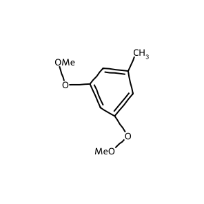 COOc1cc(C)cc(OOC)c1